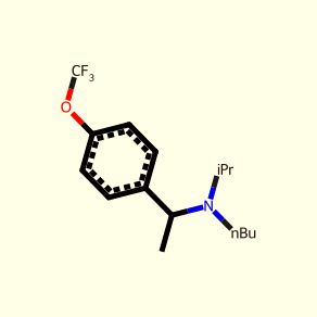 CCCCN(C(C)C)C(C)c1ccc(OC(F)(F)F)cc1